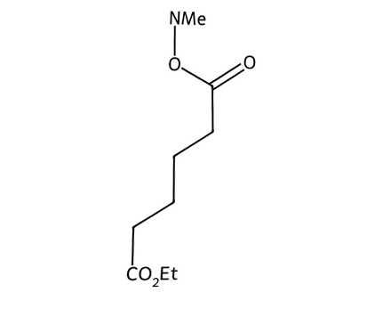 CCOC(=O)CCCCC(=O)ONC